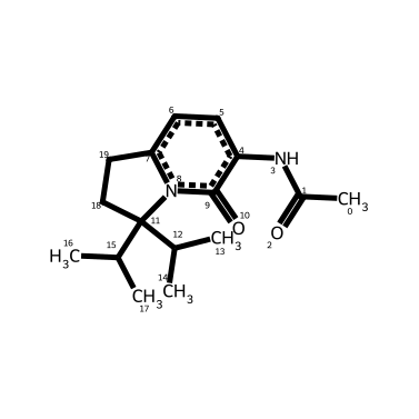 CC(=O)Nc1ccc2n(c1=O)C(C(C)C)(C(C)C)CC2